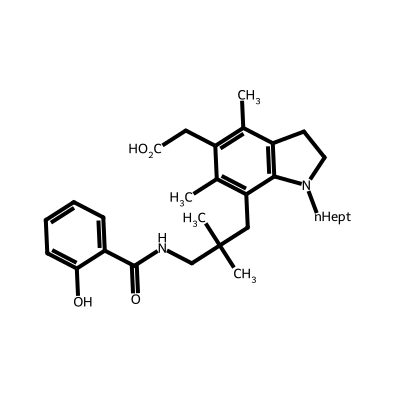 CCCCCCCN1CCc2c(C)c(CC(=O)O)c(C)c(CC(C)(C)CNC(=O)c3ccccc3O)c21